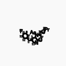 CC(=O)N1c2cc(Cc3ccc(F)cc3)cnc2OC[C@@H]1COC(C)C